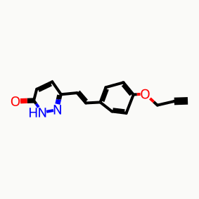 C#CCOc1ccc(C=Cc2ccc(=O)[nH]n2)cc1